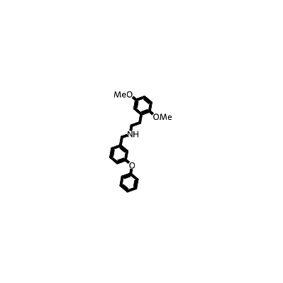 COc1ccc(OC)c(CCNCc2cccc(Oc3ccccc3)c2)c1